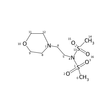 CS(=O)(=O)N(CCN1CCOCC1)S(C)(=O)=O